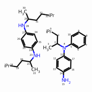 CC(C)CC(C)N(c1ccccc1)c1ccc(N)cc1.CC(C)CCC(C)Nc1ccc(NC(C)CCC(C)C)cc1